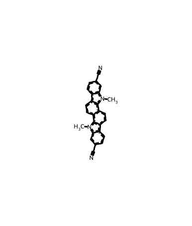 Cn1c2cc(C#N)ccc2c2ccc3c(ccc4c5ccc(C#N)cc5n(C)c43)c21